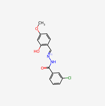 COc1ccc(/C=N/NC(=O)c2cccc(Cl)c2)c(O)c1